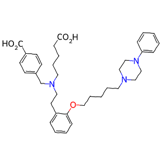 O=C(O)CCCCN(CCc1ccccc1OCCCCCN1CCN(c2ccccc2)CC1)Cc1ccc(C(=O)O)cc1